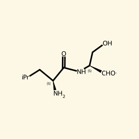 CC(C)C[C@H](N)C(=O)N[C@H]([C]=O)CO